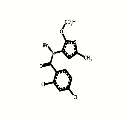 Cc1cc(N(C(=O)c2ccc(Cl)cc2Cl)C(C)C)c(OC(=O)O)s1